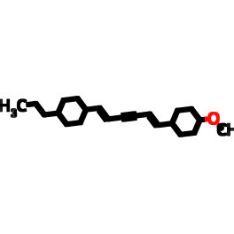 CCCC1CCC(C=CC#CC=CC2CCC(OC)CC2)CC1